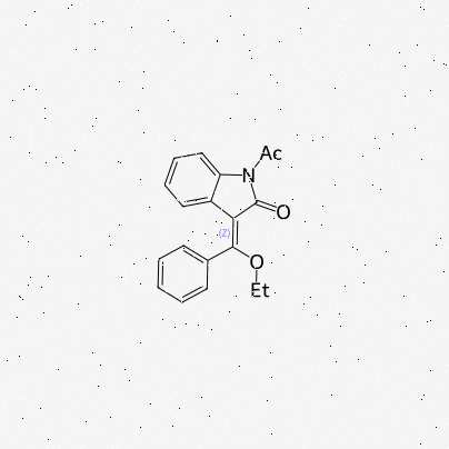 CCO/C(=C1\C(=O)N(C(C)=O)c2ccccc21)c1ccccc1